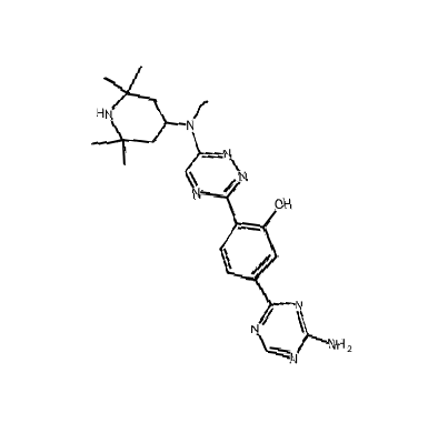 CN(c1cnc(-c2ccc(-c3ncnc(N)n3)cc2O)nn1)C1CC(C)(C)NC(C)(C)C1